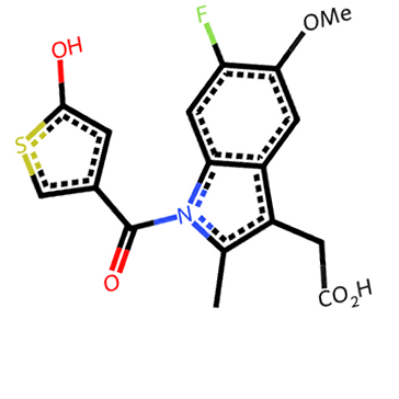 COc1cc2c(CC(=O)O)c(C)n(C(=O)c3csc(O)c3)c2cc1F